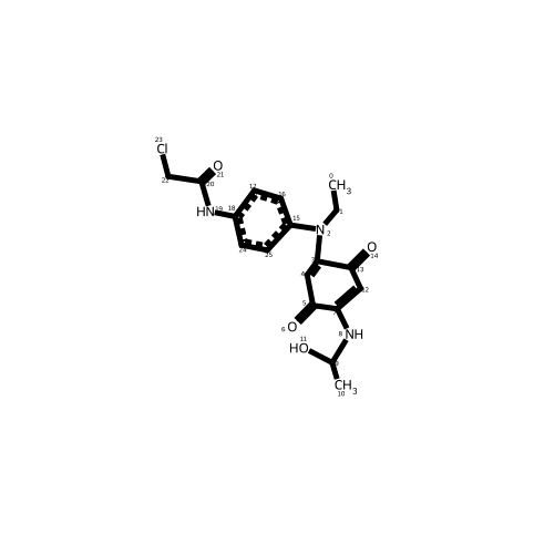 CCN(C1=CC(=O)C(NC(C)O)=CC1=O)c1ccc(NC(=O)CCl)cc1